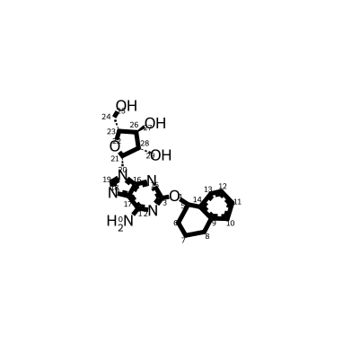 Nc1nc(OC2CCCc3ccccc32)nc2c1ncn2[C@@H]1O[C@H](CO)[C@@H](O)[C@@H]1O